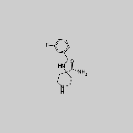 NC(=O)C1(NCc2cccc(F)c2)CCNCC1